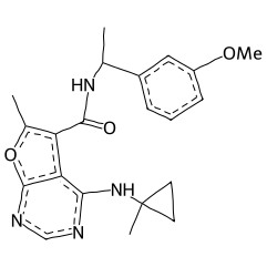 COc1cccc(C(C)NC(=O)c2c(C)oc3ncnc(NC4(C)CC4)c23)c1